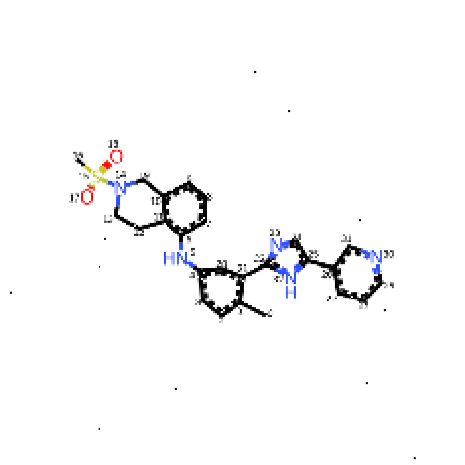 Cc1ccc(Nc2cccc3c2CCN(S(C)(=O)=O)C3)cc1-c1ncc(-c2cccnc2)[nH]1